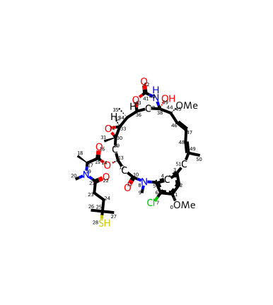 COc1cc2cc(c1Cl)N(C)C(=O)C[C@H](OC(=O)[C@H](C)N(C)C(=O)CCC(C)(C)S)C[C@]1(C)O[C@H]1[C@H](C)[C@@H]1C[C@@](O)(NC(=O)O1)[C@H](OC)/C=C/C=C(\C)C2